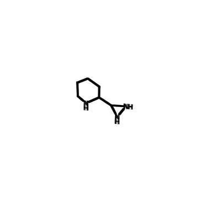 C1CCC(C2NN2)NC1